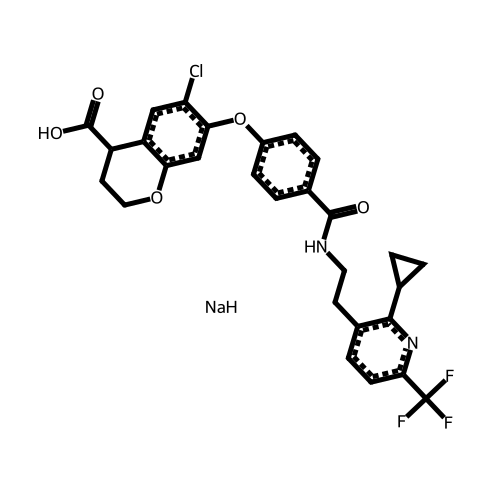 O=C(NCCc1ccc(C(F)(F)F)nc1C1CC1)c1ccc(Oc2cc3c(cc2Cl)C(C(=O)O)CCO3)cc1.[NaH]